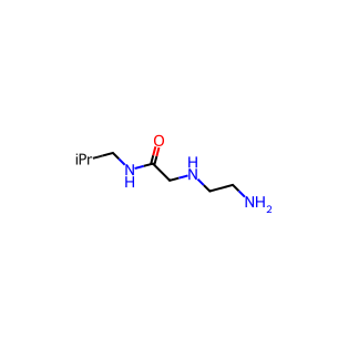 CC(C)CNC(=O)CNCCN